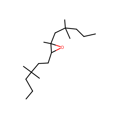 CCCC(C)(C)CCC1OC1(C)CC(C)(C)CCC